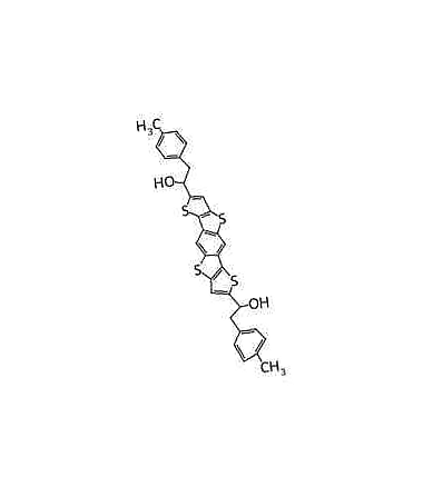 Cc1ccc(CC(O)c2cc3sc4cc5c(cc4c3s2)sc2cc(C(O)Cc3ccc(C)cc3)sc25)cc1